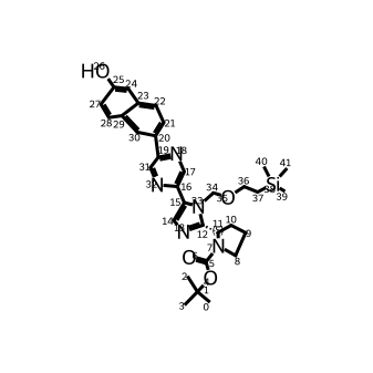 CC(C)(C)OC(=O)N1CCC[C@H]1c1ncc(-c2cnc(-c3ccc4cc(O)ccc4c3)cn2)n1COCC[Si](C)(C)C